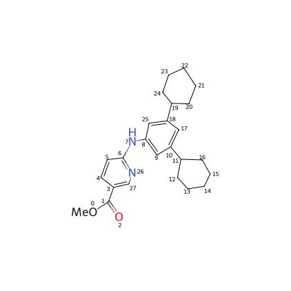 COC(=O)c1ccc(Nc2cc(C3CCCCC3)cc(C3CCCCC3)c2)nc1